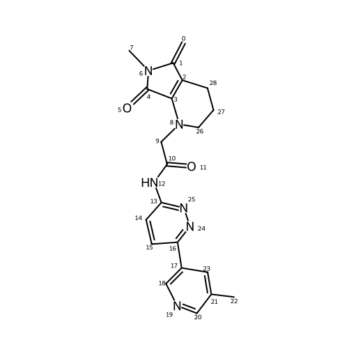 C=C1C2=C(C(=O)N1C)N(CC(=O)Nc1ccc(-c3cncc(C)c3)nn1)CCC2